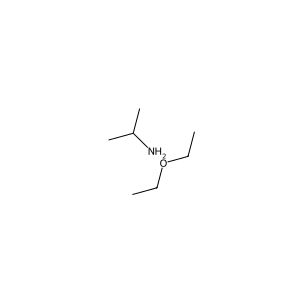 CC(C)N.CCOCC